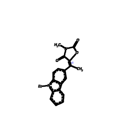 CCn1c2ccccc2c2cc(/C(C)=C3/OC(=O)N(C)C3=O)ccc21